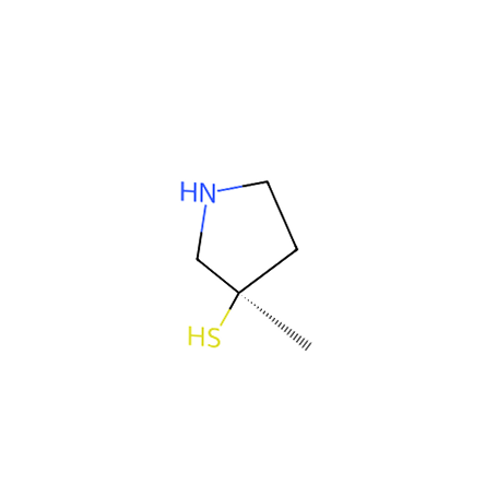 C[C@@]1(S)CCNC1